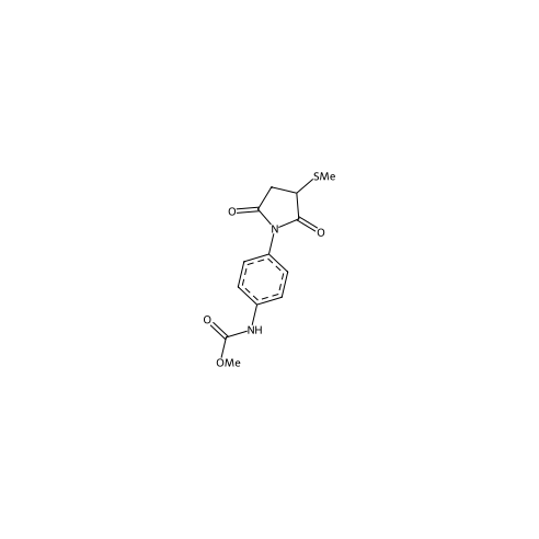 COC(=O)Nc1ccc(N2C(=O)CC(SC)C2=O)cc1